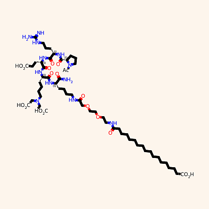 CC(=O)N1CCC[C@H]1C(=O)N[C@@H](CCCNC(=N)N)C(=O)N[C@@H](CCC(=O)O)C(=O)N[C@@H](CCCCN(CC(=O)O)CC(=O)O)C(=O)N[C@@H](CCCCNC(=O)COCCOCCNC(=O)CCCCCCCCCCCCCCCCC(=O)O)C(N)=O